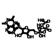 CC1=NN(C)c2ncnc3c2[n+]1cn3C1OC(COP(=O)(O)OP(=O)(O)OP(=O)(O)O)C(O)C1O